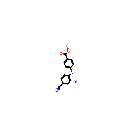 COC(=O)c1ccc(Nc2ccc(C#N)cc2N)cc1